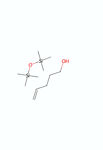 C=CCCCO.C[Si](C)(C)O[Si](C)(C)C